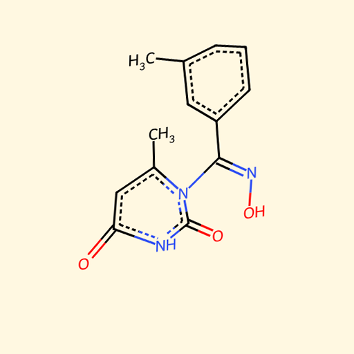 Cc1cccc(/C(=N/O)n2c(C)cc(=O)[nH]c2=O)c1